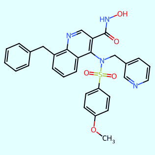 COc1ccc(S(=O)(=O)N(Cc2cccnc2)c2c(C(=O)NO)cnc3c(Cc4ccccc4)cccc23)cc1